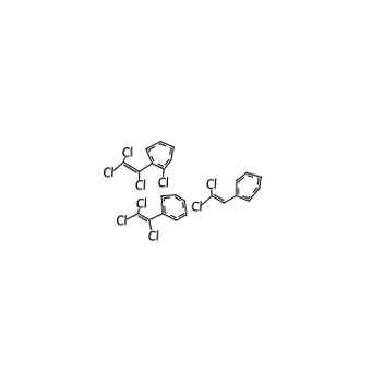 ClC(Cl)=C(Cl)c1ccccc1.ClC(Cl)=C(Cl)c1ccccc1Cl.ClC(Cl)=Cc1ccccc1